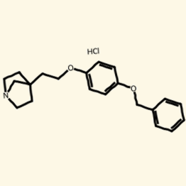 Cl.c1ccc(COc2ccc(OCCC34CCN(CC3)C4)cc2)cc1